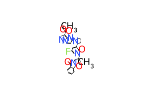 COC(=O)c1cnn2ccc(N3CCCC3c3cc(F)cn(CC(C)CN4C(=O)c5ccccc5C4=O)c3=O)nc12